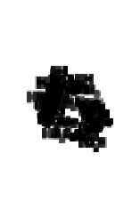 CN(Cc1cnc2nc(N)nc(N)c2n1)c1ccc(C(=O)N[C@@H](CCC(=O)O)C(=O)O)cc1.COc1cccc2c1C(=O)c1c(O)c3c(c(O)c1C2=O)C[C@@](O)(C(=O)CO)C[C@@H]3O[C@H]1C[C@H](N)[C@H](O)[C@H](C)O1